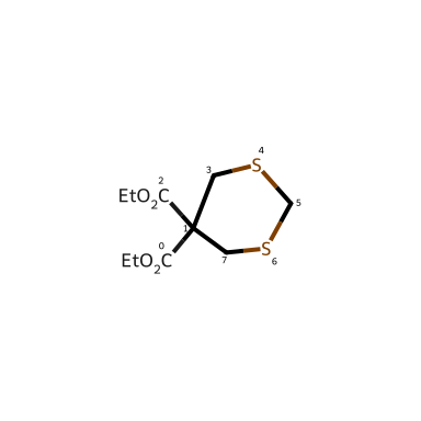 CCOC(=O)C1(C(=O)OCC)CSCSC1